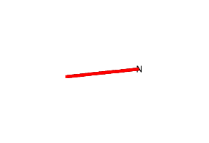 CC#CC#CC#CC#CC#CC#CC#CC#CC#CC#CC#CC#CC#CC#CC#CC#CC#CC#CC#CC#CC#CC#CC#CC#CC#CC#CC#CC#CC#CC#CC#CC#CC#CC#CC#CC#CC#CC#CC#CC#CC#CC#CC#CC#CC#CC#N